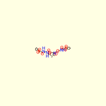 C[N+]([O-])(/C=C/COC(=O)NCCNC(=O)CCS(=O)(=O)c1ccccc1)CCOCCNC(=O)CCS(=O)(=O)c1ccccc1